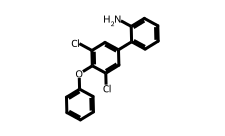 Nc1ccccc1-c1cc(Cl)c(Oc2ccccc2)c(Cl)c1